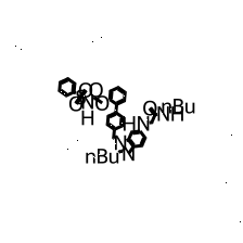 CCCCNC(=O)CNc1ccc2nc(CCCC)n(Cc3ccc(-c4ccccc4OC(=O)NS(=O)(=O)c4ccccc4)cc3)c2c1